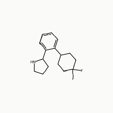 FC1(F)CCC(c2ccccc2C2CCCN2)CC1